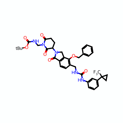 CC(C)(C)OC(=O)NCN1C(=O)CCC(N2Cc3c(ccc(CNC(=O)Nc4cccc(C5(C(F)(F)F)CC5)c4)c3OCc3ccccc3)C2=O)C1=O